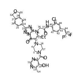 CCc1c(N2CCN(C(=O)c3ncnc(C)c3O)CC2)c(=O)n2nc(-c3ccc4c(c3)COC4)nc2n1CC(=O)Nc1ccc(C=C(F)F)cc1Cl